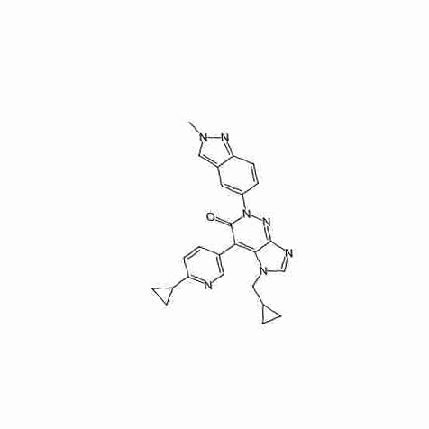 Cn1cc2cc(-n3nc4ncn(CC5CC5)c4c(-c4ccc(C5CC5)nc4)c3=O)ccc2n1